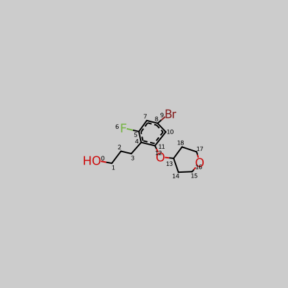 OCCCc1c(F)cc(Br)cc1OC1CCOCC1